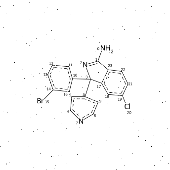 NC1=NC(c2ccncc2)(c2cccc(Br)c2)c2cc(Cl)ccc21